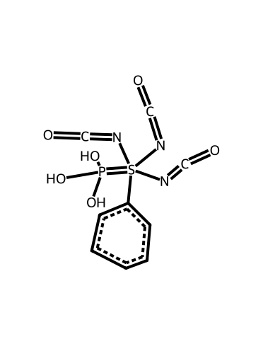 O=C=NS(N=C=O)(N=C=O)(c1ccccc1)=P(O)(O)O